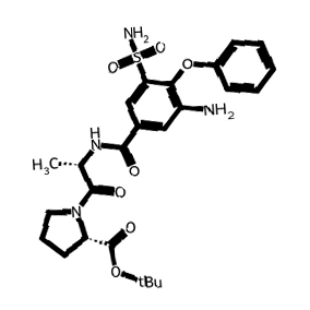 C[C@H](NC(=O)c1cc(N)c(Oc2ccccc2)c(S(N)(=O)=O)c1)C(=O)N1CCC[C@H]1C(=O)OC(C)(C)C